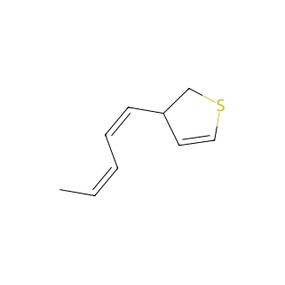 C/C=C\C=C/C1C=CSC1